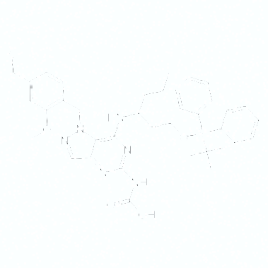 CCCC(CCO[Si](c1ccccc1)(c1ccccc1)C(C)(C)C)Nc1nc(NC(=O)O)nc2cnn(Cc3ccc(CCl)cc3OC)c12